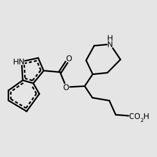 O=C(O)CCCC(OC(=O)c1c[nH]c2ccccc12)C1CCNCC1